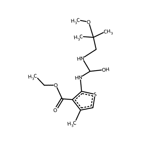 CCOC(=O)c1c(C)csc1NC(O)NCC(C)(C)OC